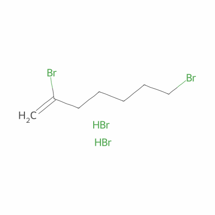 Br.Br.C=C(Br)CCCCCBr